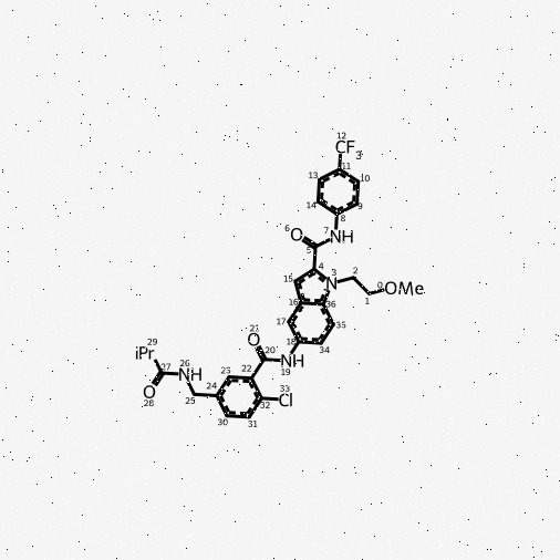 COCCn1c(C(=O)Nc2ccc(C(F)(F)F)cc2)cc2cc(NC(=O)c3cc(CNC(=O)C(C)C)ccc3Cl)ccc21